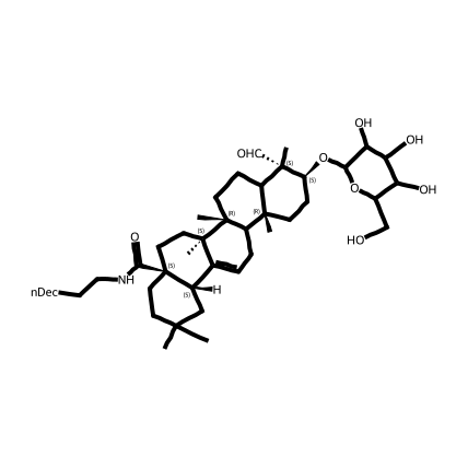 CCCCCCCCCCCCNC(=O)[C@]12CCC(C)(C)C[C@H]1C1=CCC3[C@@]4(C)CC[C@H](OC5OC(CO)C(O)C(O)C5O)[C@@](C)(C=O)C4CC[C@@]3(C)[C@]1(C)CC2